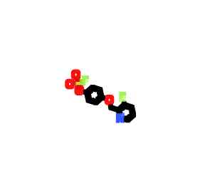 O=S(=O)(F)Oc1ccc(OCc2ncccc2F)cc1